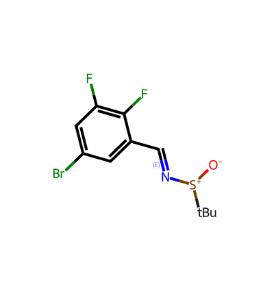 CC(C)(C)[S+]([O-])/N=C/c1cc(Br)cc(F)c1F